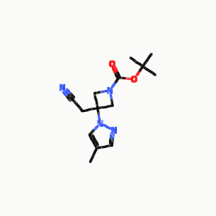 Cc1cnn(C2(CC#N)CN(C(=O)OC(C)(C)C)C2)c1